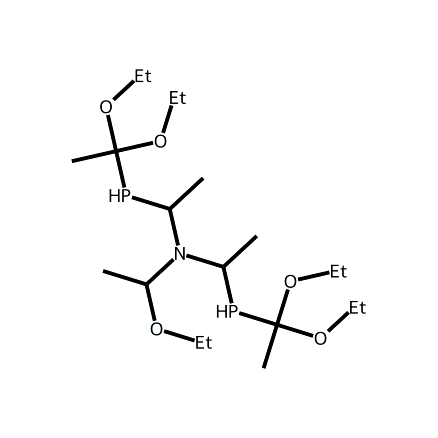 CCOC(C)N(C(C)PC(C)(OCC)OCC)C(C)PC(C)(OCC)OCC